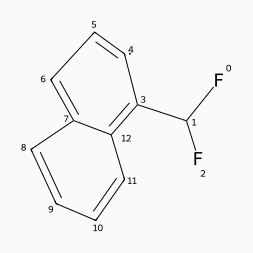 FC(F)c1[c]ccc2ccccc12